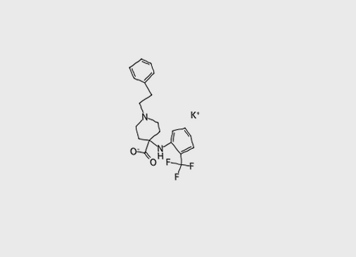 O=C([O-])C1(Nc2ccccc2C(F)(F)F)CCN(CCc2ccccc2)CC1.[K+]